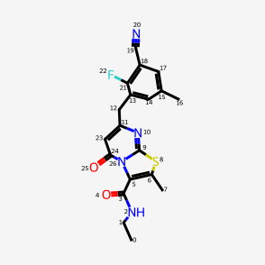 CCNC(=O)c1c(C)sc2nc(Cc3cc(C)cc(C#N)c3F)cc(=O)n12